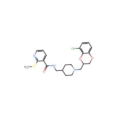 CSc1ncccc1C(=O)NCC1CCN(CC2COc3cccc(Cl)c3O2)CC1